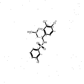 CN(C)C[C@@H](NS(=O)(=O)c1cccc(F)c1)c1ccc(Cl)c(Cl)c1